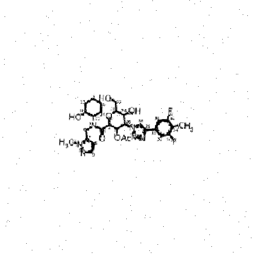 CC(=O)OC1C(C(=O)N(Cc2ccnn2C)[C@H]2CCCC[C@@H]2O)OC(CO)C(O)C1n1cc(-c2cc(F)c(C)c(F)c2)nn1